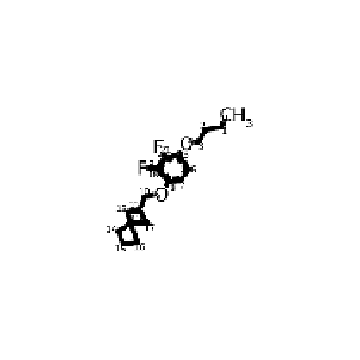 CCCCOc1ccc(OCC2CC3(CCC3)C2)c(F)c1F